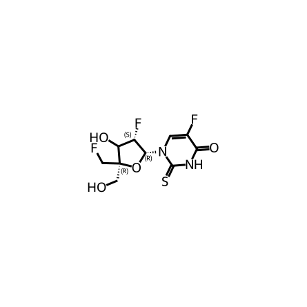 O=c1[nH]c(=S)n([C@@H]2O[C@@](CO)(CF)C(O)[C@@H]2F)cc1F